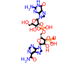 NC(=O)c1ncnc2c1ncn2[C@@H]1O[C@H](COP(=O)(O)O[C@@H]2[C@H](O)[C@@H](CO)O[C@H]2n2cnc3c(=O)[nH]c(N)nc32)[C@@H](O[PH](=O)O)[C@H]1O